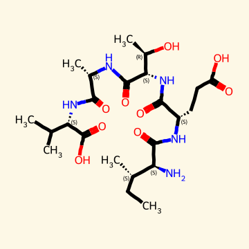 CC[C@H](C)[C@H](N)C(=O)N[C@@H](CCC(=O)O)C(=O)N[C@H](C(=O)N[C@@H](C)C(=O)N[C@H](C(=O)O)C(C)C)[C@@H](C)O